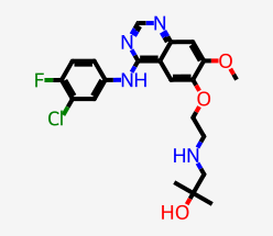 COc1cc2ncnc(Nc3ccc(F)c(Cl)c3)c2cc1OCCNCC(C)(C)O